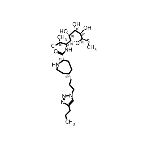 CCCc1cn(CCC[C@@H]2CCN[C@H](C(=O)N[C@@H]([C@H]3O[C@H](SC)[C@H](O)[C@@H](O)[C@H]3O)[C@H](C)Cl)CC2)nn1